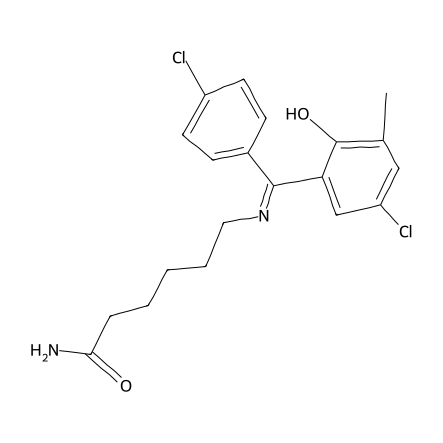 Cc1cc(Cl)cc(C(=NCCCCCC(N)=O)c2ccc(Cl)cc2)c1O